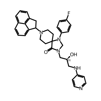 O=C1N(C[C@@H](O)CNc2ccncc2)CN(c2ccc(F)cc2)C12CCN(C1Cc3cccc4cccc1c34)CC2